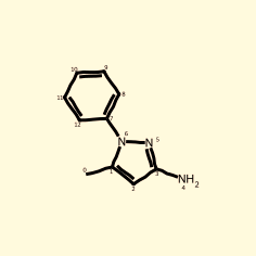 Cc1cc(N)nn1-c1ccccc1